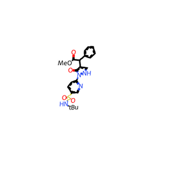 COC(=O)C(c1ccccc1)c1c[nH]n(-c2ccc(S(=O)(=O)NC(C)(C)C)cn2)c1=O